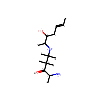 CC=CCC(O)C(C)NC(C)(C)C(C)(C)C(=O)C(C)N